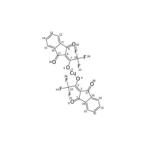 O=C1C(=C([O][Cu][O]C(=C2C(=O)c3ccccc3C2=O)C(F)(F)F)C(F)(F)F)C(=O)c2ccccc21